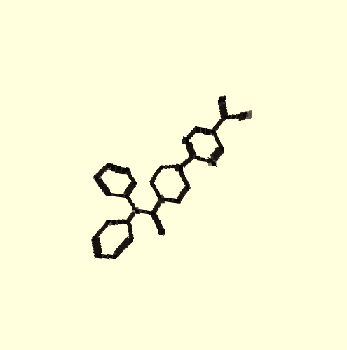 O=C(O)c1cnc(N2CCN(C(=O)N(c3ccccc3)c3ccccc3)CC2)nc1